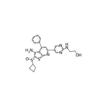 Nc1c([S+]([O-])C2CCC2)sc2nc(-c3cnc(NCCO)nc3)cc(-c3ccccc3)c12